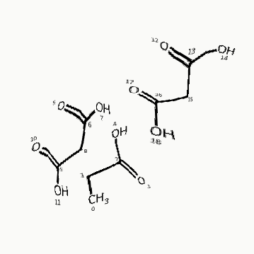 CCC(=O)O.O=C(O)CC(=O)O.O=C(O)CC(=O)O